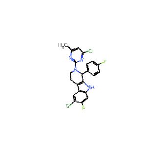 Cc1cc(Cl)nc(N2CCc3c([nH]c4cc(F)c(Cl)cc34)C2c2ccc(F)cc2)n1